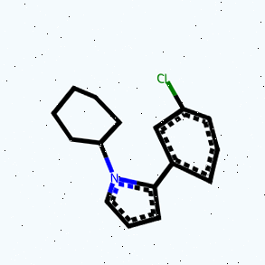 Clc1cccc(-c2cccn2C2CCCCC2)c1